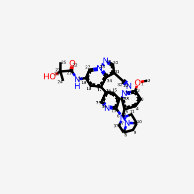 COc1ccc(CN2C3CC2CN(c2ccc(-c4cc(NC(=O)C(C)(C)O)cn5ncc(C#N)c45)cn2)C3)cn1